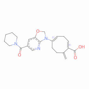 C=C1CC/C(N2COc3cc(C(=O)N4CCCCC4)cnc32)=C\C/C=C\1C(=O)O